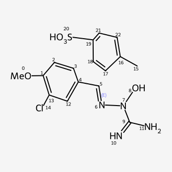 COc1ccc(/C=N/N(O)C(=N)N)cc1Cl.Cc1ccc(S(=O)(=O)O)cc1